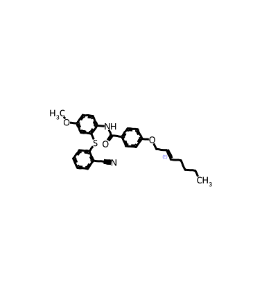 CCCC/C=C/COc1ccc(C(=O)Nc2ccc(OC)cc2Sc2ccccc2C#N)cc1